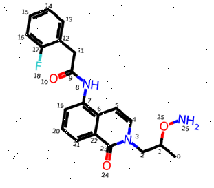 CC(Cn1ccc2c(NC(=O)Cc3ccccc3F)cccc2c1=O)ON